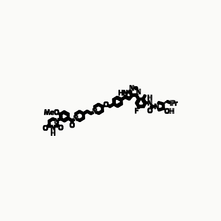 COc1ccc(C(=O)N2CCC(CCN3CCC(OCc4ccc(-c5cc6c(-c7cc(F)cc(NC(=O)N8C[C@H](CC(C)C)[C@@H](O)C8)c7C)ncnc6[nH]5)cc4)CC3)CC2)cc1N1CCC(=O)NC1=O